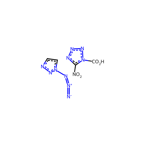 O=C(O)n1nnnc1[N+](=O)[O-].[N-]=[N+]=Nn1ccnn1